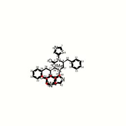 COC(=O)N(c1cncs1)[C@@H](Cc1ccccc1)CN(Cc1cccnc1)C[C@H](Cc1ccccc1)N(C(=O)OC)c1cncs1